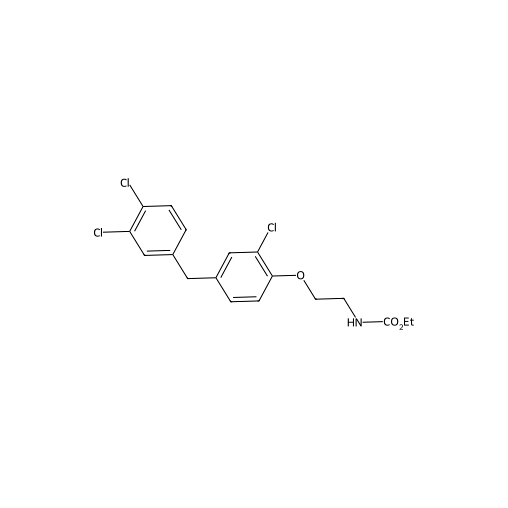 CCOC(=O)NCCOc1ccc(Cc2ccc(Cl)c(Cl)c2)cc1Cl